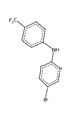 FC(F)(F)c1ccc(Nc2ccc(Br)cn2)cc1